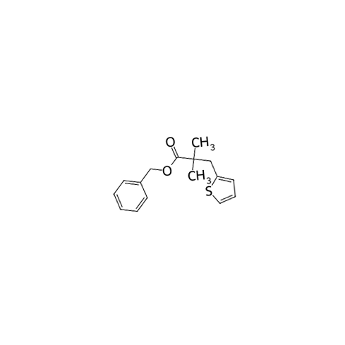 CC(C)(Cc1cccs1)C(=O)OCc1ccccc1